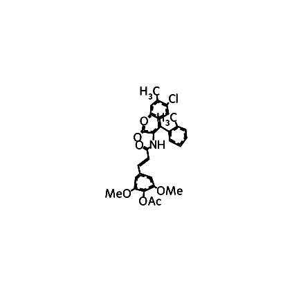 COc1cc(C=CC(=O)Nc2c(-c3ccccc3C)c3cc(Cl)c(C)cc3oc2=O)cc(OC)c1OC(C)=O